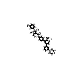 Cc1c(C(=O)Nc2ccc(-c3nc(-c4ccnc(N5CCOCC5)c4)cnc3N)cc2)c(=O)n(-c2cccc(F)c2)n1C